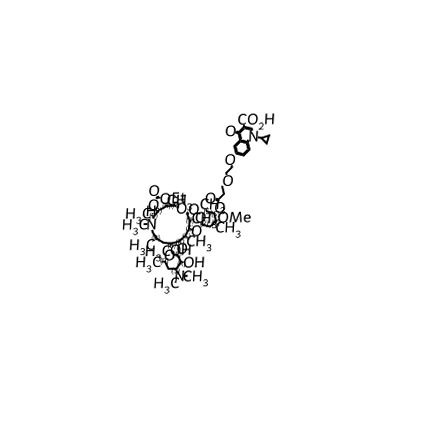 CC[C@H]1OC(=O)[C@H](C)[C@@H](O[C@H]2C[C@@](C)(OC)[C@@H](OC(=O)CCOCCOc3ccc4c(c3)c(=O)c(C(=O)O)cn4C3CC3)[C@H](C)O2)[C@H](C)[C@@H](O[C@@H]2O[C@H](C)C[C@H](N(C)C)[C@H]2O)[C@](C)(O)C[C@@H](C)CN(C)[C@H](C)[C@H]2OC(=O)O[C@@]21C